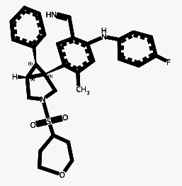 Cc1cc(Nc2ccc(F)cc2)c(C=N)cc1[C@@]12CN(S(=O)(=O)C3CCOCC3)C[C@@H]1[C@H]2c1ccccc1